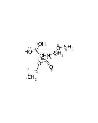 C=CCOC(=O)N[SiH2]O[SiH3].O=C(O)O